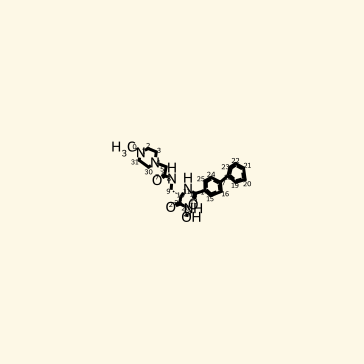 CN1CCN(CC(=O)NC[C@H](NC(=O)c2ccc(-c3ccccc3)cc2)C(=O)NO)CC1